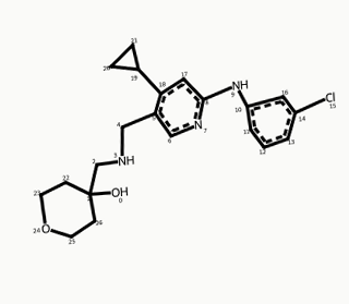 OC1(CNCc2cnc(Nc3cccc(Cl)c3)cc2C2CC2)CCOCC1